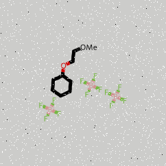 COCCOC1CCCCC1.F[B-](F)(F)F.F[B-](F)(F)F.F[B-](F)(F)F